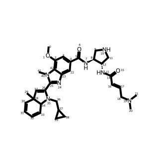 COc1cc(C(=O)N[C@H]2CNC[C@@H]2NC(=O)/C=C/CN(C)C)cc2nc(C3=CC4(C)C=CC=CC4N3CC3CC3)n(C)c12